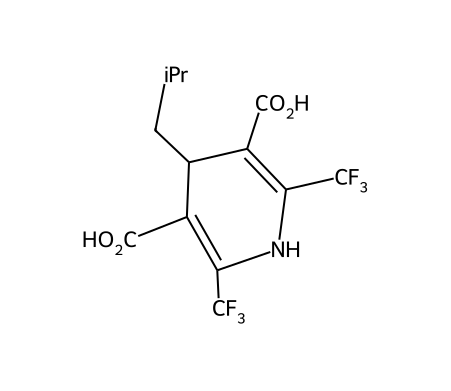 CC(C)CC1C(C(=O)O)=C(C(F)(F)F)NC(C(F)(F)F)=C1C(=O)O